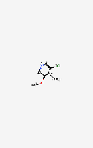 CCCCOc1cncc(Cl)c1C(=O)O